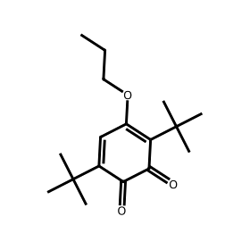 CCCOC1=C(C(C)(C)C)C(=O)C(=O)C(C(C)(C)C)=C1